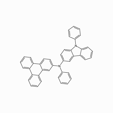 c1ccc(N(c2ccc3c4ccccc4c4ccccc4c3c2)c2ccc3c(c2)c2ccccc2n3-c2ccccc2)cc1